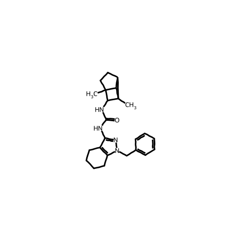 CC12CCC3C1C3(C)C2NC(=O)Nc1nn(Cc2ccccc2)c2c1CCCC2